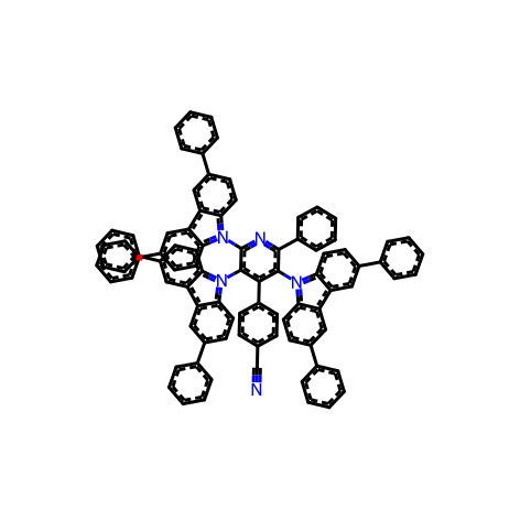 N#Cc1ccc(-c2c(-n3c4ccc(-c5ccccc5)cc4c4cc(-c5ccccc5)ccc43)c(-c3ccccc3)nc(-n3c4ccc(-c5ccccc5)cc4c4cc(-c5ccccc5)ccc43)c2-n2c3ccc(-c4ccccc4)cc3c3cc(-c4ccccc4)ccc32)cc1